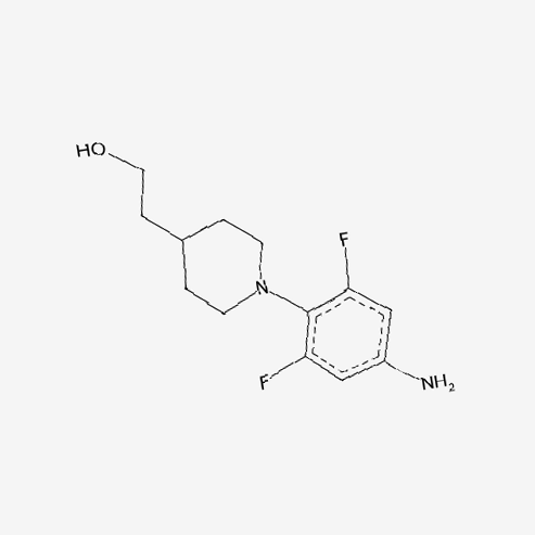 Nc1cc(F)c(N2CCC(CCO)CC2)c(F)c1